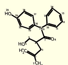 C=C(C)CC(CO)C(=O)N(c1ccccc1)c1ccc(O)cc1